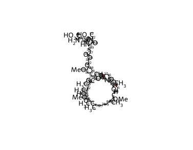 CO[C@H]1C[C@@H]2CC[C@@H](C)[C@@H](O2)C(=O)C(=O)N2CCCC[C@H]2C(=O)OC([C@H](C)C[C@@H]2CC[C@@H](OCCOC(=O)CSC[C@H](NC(=O)CC[C@H](N)C(=O)O)C(=O)NCC(=O)O)[C@H](OC)C2)CC(=O)[C@H](C)/C=C(\C)[C@@H](O)[C@@H](OC)C(=O)[C@H](C)C[C@@H](C)\C=C/C=C/C=C/1C